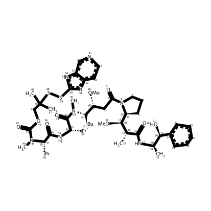 CC[C@H](C)[C@@H]([C@@H](CC(=O)N1CCC[C@H]1[C@H](OC)[C@@H](C)C(=O)N[C@H](C)[C@@H](O)c1ccccc1)OC)N(C)C(=O)[C@@H](NC(=O)[C@H](C(C)C)N(C)C(=O)OCC(C)(C)SSc1nc2ccncc2[nH]1)C(C)C